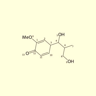 COC1=CC(C(O)C(C)CO)C=CC1=O